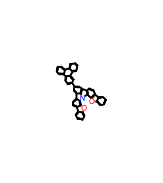 c1ccc2c(c1)oc1c2ccc2c3cc(-c4ccc5c6ccccc6c6ccccc6c5c4)cc4c5ccc6c7ccccc7oc6c5n(c34)c21